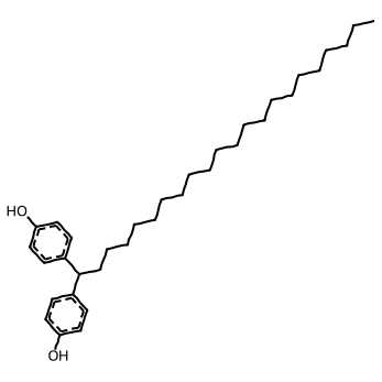 CCCCCCCCCCCCCCCCCCCCCC(c1ccc(O)cc1)c1ccc(O)cc1